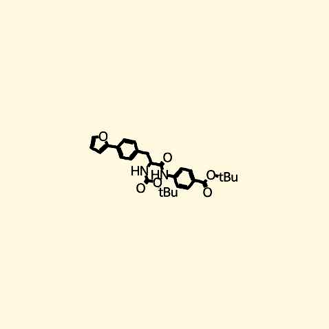 CC(C)(C)OC(=O)NC(Cc1ccc(-c2ccco2)cc1)C(=O)Nc1ccc(C(=O)OC(C)(C)C)cc1